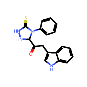 O=C(Cc1c[nH]c2ccccc12)C1NNC(=S)N1c1ccccc1